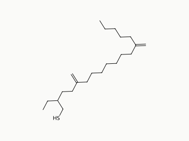 C=C(CCCCC)CCCCCCCC(=C)CCC(CC)CS